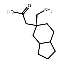 NC[C@@]1(CC(=O)O)CCC2CCCC2C1